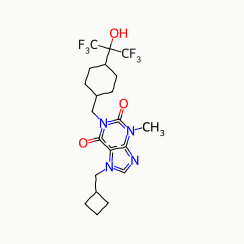 Cn1c(=O)n(CC2CCC(C(O)(C(F)(F)F)C(F)(F)F)CC2)c(=O)c2c1ncn2CC1CCC1